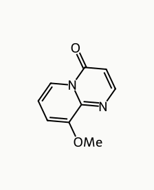 COc1cccn2c(=O)ccnc12